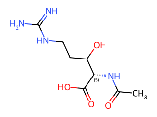 CC(=O)N[C@H](C(=O)O)C(O)CCNC(=N)N